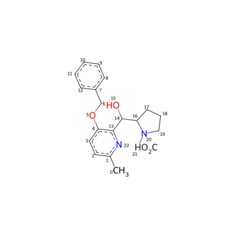 Cc1ccc(OCc2ccccc2)c(C(O)C2CCCN2C(=O)O)n1